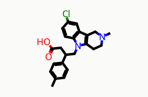 Cc1ccc(C(CC(=O)O)Cn2c3c(c4cc(Cl)ccc42)CN(C)CC3)cc1